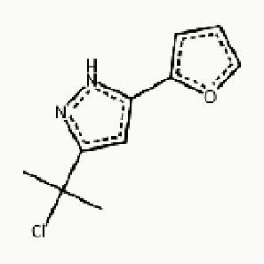 CC(C)(Cl)c1cc(-c2ccco2)[nH]n1